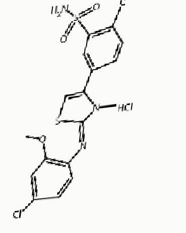 COc1cc(Cl)ccc1N=c1scc(-c2ccc(Cl)c(S(N)(=O)=O)c2)n1C.Cl